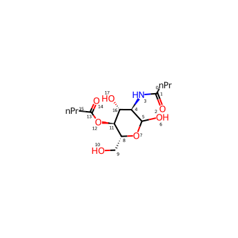 CCCC(=O)N[C@H]1C(O)O[C@H](CO)[C@@H](OC(=O)CCC)[C@@H]1O